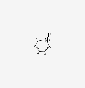 IN1C=CC=CC1